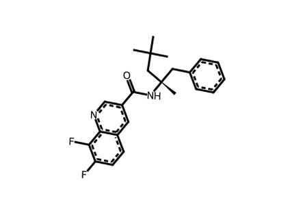 CC(C)(C)C[C@](C)(Cc1ccccc1)NC(=O)c1cnc2c(F)c(F)ccc2c1